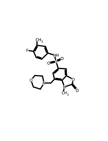 Cc1cc(NS(=O)(=O)c2cc(CN3CCOCC3)c3c(c2)oc(=O)n3C)ccc1F